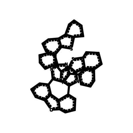 c1ccc(-c2nc(-c3cccc4c3sc3ccccc34)nc(-c3cccc4oc5cccc(-c6nc(-c7ccccc7)c7sc8ccccc8c7n6)c5c34)n2)cc1